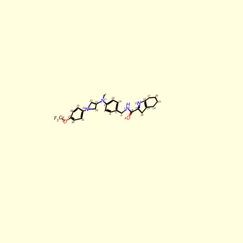 CN(c1ccc(CNC(=O)C2=NC3=C(CCCC3)C2)cc1)C1CN(c2ccc(OC(F)(F)F)cc2)C1